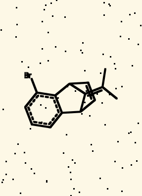 CC(C)=C1C2C=CC1c1c(Br)cccc12